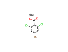 CC(C)(C)OC(=O)c1c(Cl)cc(Br)cc1Cl